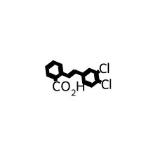 O=C(O)c1ccccc1/C=C/c1ccc(Cl)c(Cl)c1